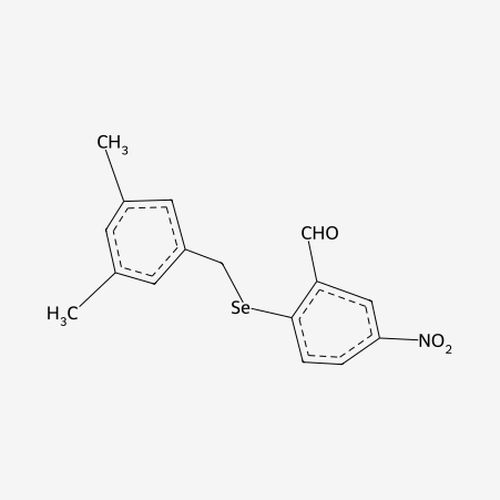 Cc1cc(C)cc(C[Se]c2ccc([N+](=O)[O-])cc2C=O)c1